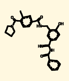 Cc1cc(C(=O)NCc2cc(C(=N)NC(=O)c3ccccc3)ccc2O)ccc1C(=O)N1CCCC1